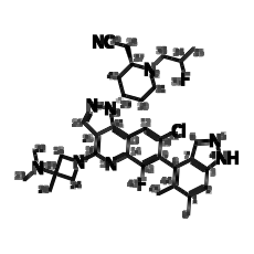 Cc1cc2[nH]ncc2c(-c2c(Cl)cc3c(nc(N4CC(C)(N(C)C)C4)c4cnn([C@H]5CCN(CC(C)F)[C@H](CC#N)C5)c43)c2F)c1C